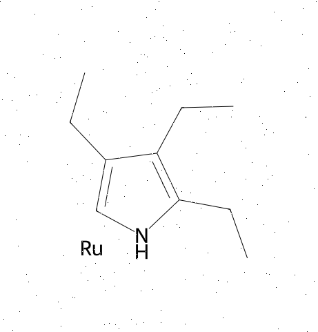 CCc1c[nH]c(CC)c1CC.[Ru]